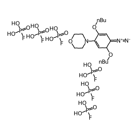 CCCCOC1=CC(=[N+]=[N-])C(OCCCC)C=C1N1CCOCC1.O=P(O)(O)F.O=P(O)(O)F.O=P(O)(O)F.O=P(O)(O)F.O=P(O)(O)F.O=P(O)(O)F